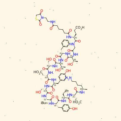 CC[C@H](C)[C@H](NC(=O)[C@H](CO)NC(=O)[C@H](Cc1ccc(O)cc1)NC(=O)[C@H](CC(=O)O)NC(=O)[C@H](CO)NC(=O)[C@@H](NC(=O)[C@H](Cc1ccccc1)NC(=O)[C@@H](NC(=O)CNC(=O)[C@H](CCC(=O)O)NC(=O)CCCCC(=O)NCCN1C(=O)CSC1=O)[C@@H](C)O)[C@@H](C)O)C(=O)N[C@@H](Cc1ccc(O)cc1)C(=O)N[C@@H](CC(C)C)C(=O)N[C@@H](CC(=O)O)C(=O)N[C@H](C)CCCCN